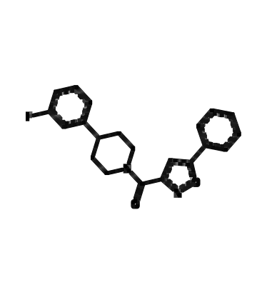 O=C(c1cc(-c2ccccc2)on1)N1CCC(c2cccc(F)c2)CC1